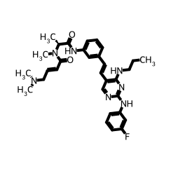 CCCNc1nc(Nc2cccc(F)c2)ncc1/C=C/c1cccc(NC(=O)[C@H](C)N(C)C(=O)/C=C/CN(C)C)c1